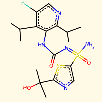 CC(C)c1ncc(F)c(C(C)C)c1NC(=O)N=S(N)(=O)c1cnc(C(C)(C)O)s1